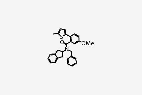 COc1ccc(-c2ccc(C)s2)c(C(=O)N(Cc2ccccc2)C2Cc3ccccc3C2)c1